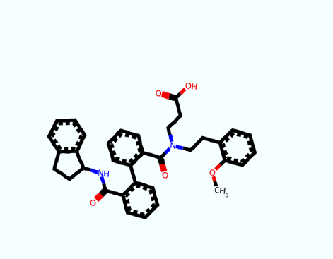 COc1ccccc1CCN(CCC(=O)O)C(=O)c1ccccc1-c1ccccc1C(=O)NC1CCc2ccccc21